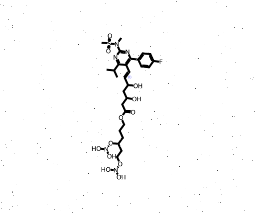 CC(C)c1nc(N(C)S(C)(=O)=O)nc(-c2ccc(F)cc2)c1/C=C/C(O)CC(O)CC(=O)OCCCC(CCON(O)O)ON(O)O